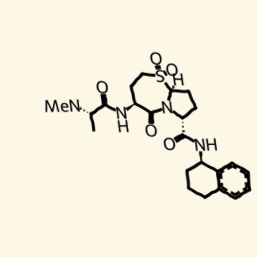 CN[C@@H](C)C(=O)N[C@H]1CCS(=O)(=O)[C@H]2CC[C@H](C(=O)N[C@@H]3CCCc4ccccc43)N2C1=O